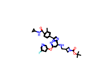 Cc1cc(-c2cnc3c(NCC4CN(C(=O)OC(C)(C)C)C4)cc(Oc4cncc(F)c4)nn23)ccc1C(=O)NC1CC1